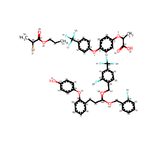 CC(Oc1ccc(Oc2ccc(C(F)(F)F)cc2)cc1)C(=O)O.CCCOC(=O)C(C)Br.Oc1ccc(Oc2ccccc2CCC(OCc2ccccc2F)OCc2ccc(C(F)(F)F)cc2F)cc1